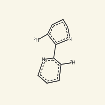 [2H]c1cccnc1-c1ncccc1[2H]